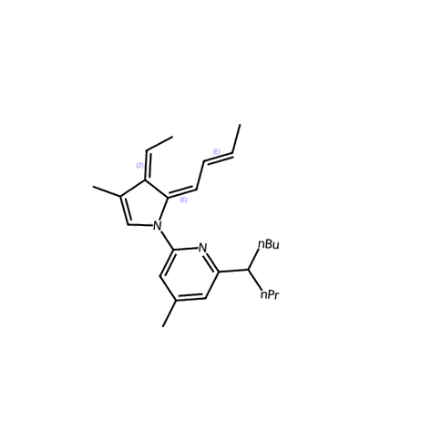 C/C=c1/c(C)cn(-c2cc(C)cc(C(CCC)CCCC)n2)/c1=C/C=C/C